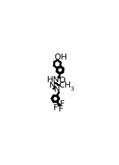 CC1C(NC(=O)c2ccc3c(c2)CCC(O)C3)N=CN1Cc1cccc(C(F)(F)F)c1